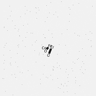 [Co].[O]=[Cr].[O]=[Fe]